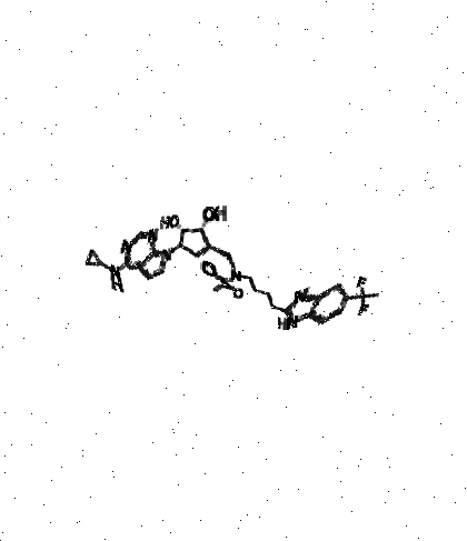 CC(F)(F)c1ccc2[nH]c(CCCCN(C[C@H]3C[C@@H](n4ccc5c(NC6CC6)ncnc54)[C@H](O)[C@@H]3O)S(C)(=O)=O)nc2c1